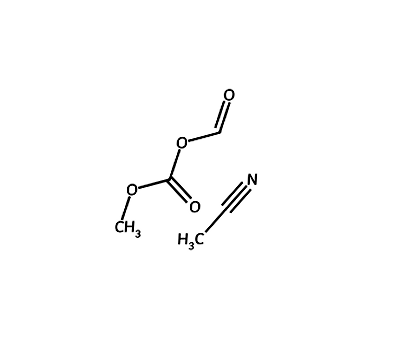 CC#N.COC(=O)OC=O